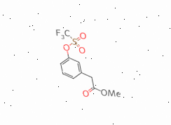 COC(=O)Cc1cccc(OS(=O)(=O)C(F)(F)F)c1